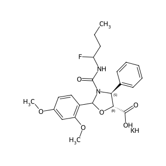 CCCC(F)NC(=O)N1C(c2ccc(OC)cc2OC)O[C@@H](C(=O)O)[C@@H]1c1ccccc1.[KH]